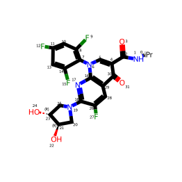 CC(C)NC(=O)c1cn(-c2c(F)cc(F)cc2F)c2nc(N3C[C@@H](O)[C@H](O)C3)c(F)cc2c1=O